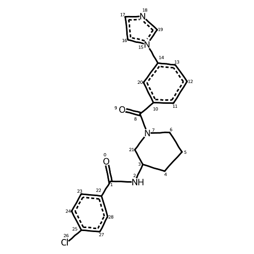 O=C(NC1CCCN(C(=O)c2cccc(-n3ccnc3)c2)C1)c1ccc(Cl)cc1